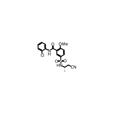 COc1ccc(S(=O)(=O)N[C@@H](C)CC#N)cc1C(=O)Nc1ccccc1Cl